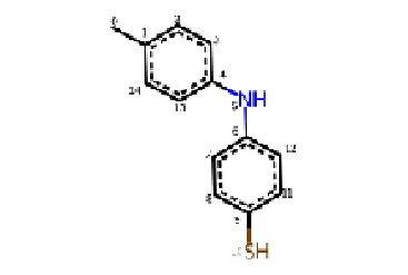 Cc1ccc(Nc2ccc(S)cc2)cc1